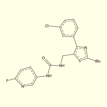 CC(C)(C)c1nc(-c2cccc(Cl)c2)c(CNC(=O)Nc2ccc(F)nc2)s1